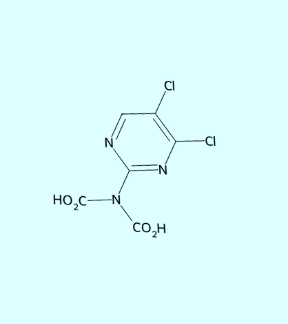 O=C(O)N(C(=O)O)c1ncc(Cl)c(Cl)n1